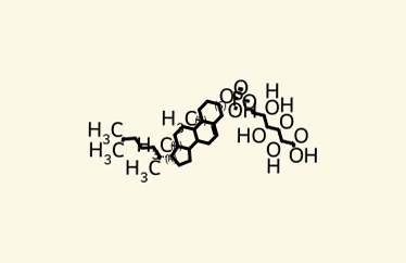 CC(C)CCCC(C)[C@H]1CCC2C3CC=C4C[C@@H](OP(=O)(O)OCC(O)C(O)C(O)C(O)C(=O)O)CC[C@]4(C)C3CC[C@@]21C